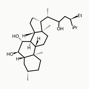 CC[C@H](CC(O)[C@@H](C)[C@H]1CC[C@H]2[C@@H]3[C@@H](O)[C@H](O)[C@H]4C[C@@H](C)CC[C@]4(C)[C@H]3CC[C@]12C)C(C)C